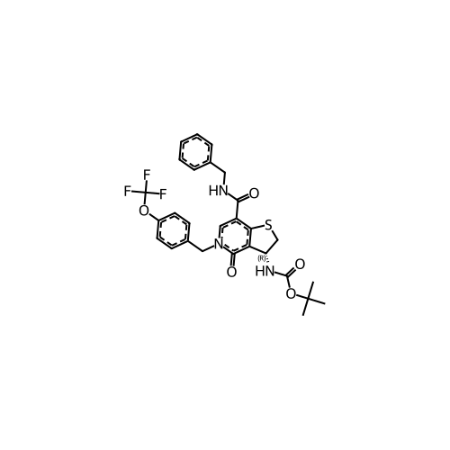 CC(C)(C)OC(=O)N[C@H]1CSc2c(C(=O)NCc3ccccc3)cn(Cc3ccc(OC(F)(F)F)cc3)c(=O)c21